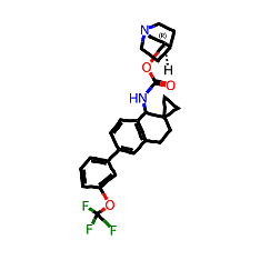 O=C(NC1c2ccc(-c3cccc(OC(F)(F)F)c3)cc2CCC12CC2)O[C@H]1CN2CCC1CC2